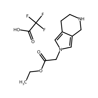 CCOC(=O)Cn1cc2c(c1)CNCC2.O=C(O)C(F)(F)F